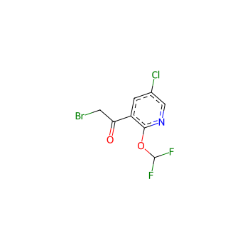 O=C(CBr)c1cc(Cl)cnc1OC(F)F